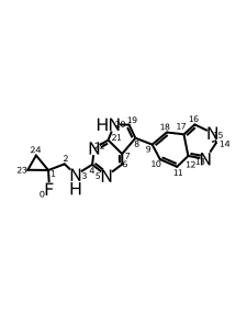 FC1(CNc2ncc3c(-c4ccc5ncncc5c4)c[nH]c3n2)CC1